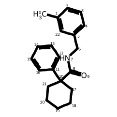 Cc1cccc(CNC(=O)C2(c3ccccc3)CCCCC2)c1